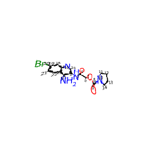 Nc1c(NC(=O)COC(=O)N2CCCC2)cnc2cc(Br)ccc12